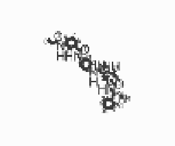 C=CC(=O)Nc1cccc(C(=O)Nc2ccc(NC3NNC4=C3CN(C(=O)N[C@H](CN(C)C)c3ccccc3)C4(C)C)cc2)c1